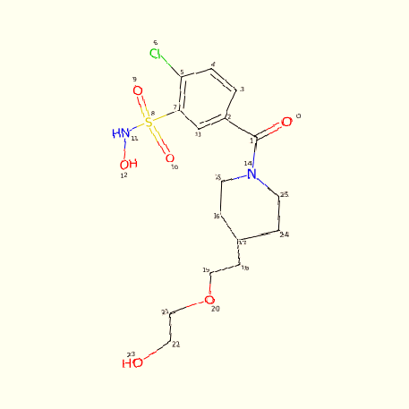 O=C(c1ccc(Cl)c(S(=O)(=O)NO)c1)N1CCC(CCOCCO)CC1